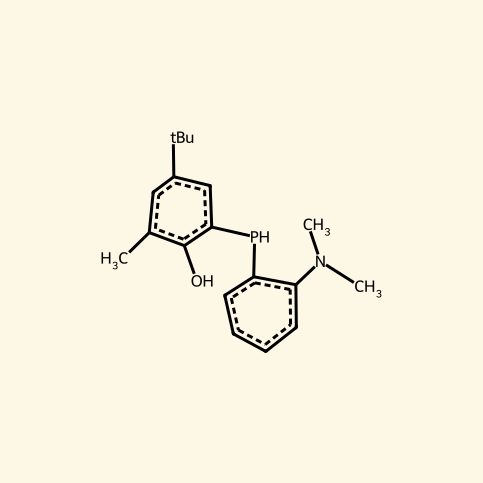 Cc1cc(C(C)(C)C)cc(Pc2ccccc2N(C)C)c1O